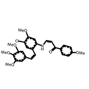 COc1ccc(C(=O)/C=C\Nc2cc(OC)c(Cl)cc2/C=C\c2cc(OC)c(OC)c(OC)c2)cc1